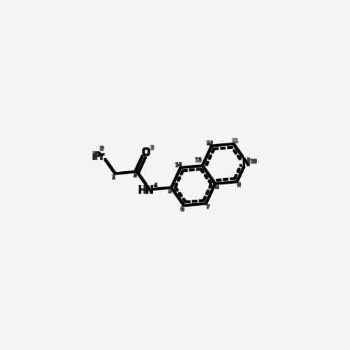 CC(C)CC(=O)Nc1ccc2cnccc2c1